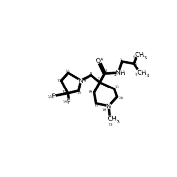 CC(C)CNC(=O)C1(CN2CCC(F)(F)C2)CCN(C)CC1